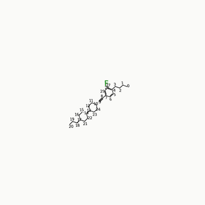 CCCCc1ccc(C#C[C@H]2CC[C@H]([C@H]3CC[C@H](CCC)CC3)CC2)cc1F